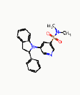 CN(C)S(=O)(=O)c1cncc(N2c3ccccc3CC2c2ccccc2)c1